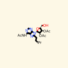 CC(=O)Nc1ncnc2c1nc(CCC(C)C)n2[C@@H]1O[C@H](CO)[C@@H](OC(C)=O)[C@H]1OC(C)=O